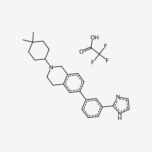 CC1(C)CCC(N2CCc3cc(-c4cccc(-c5ncc[nH]5)c4)ccc3C2)CC1.O=C(O)C(F)(F)F